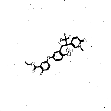 CCOC(=O)c1cc(Oc2ccc(Cl)c([C@H](C)[C@](O)(c3ccc(=O)n(C)c3)C(F)(F)F)c2)ccc1F